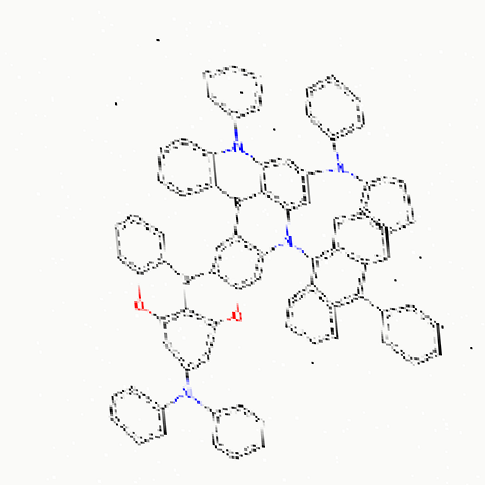 c1ccc(-c2c3ccccc3c(N3c4cc5c(cc4B4c6ccccc6N(c6ccccc6)c6cc(N(c7ccccc7)c7ccccc7)cc3c64)B3c4ccccc4Oc4cc(N(c6ccccc6)c6ccccc6)cc(c43)O5)c3ccccc23)cc1